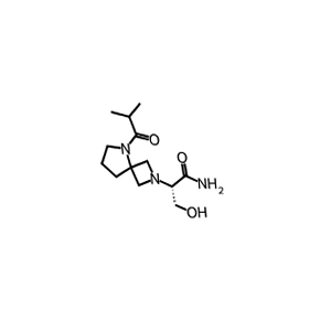 CC(C)C(=O)N1CCCC12CN([C@@H](CO)C(N)=O)C2